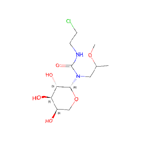 COC(C)CN(C(=O)NCCCl)[C@@H]1OC[C@@H](O)[C@@H](O)[C@@H]1O